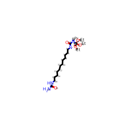 CCCN(C(=O)[N]CCCCCCCCCCCCNC(N)=O)[Si](OCC)(OCC)OCC